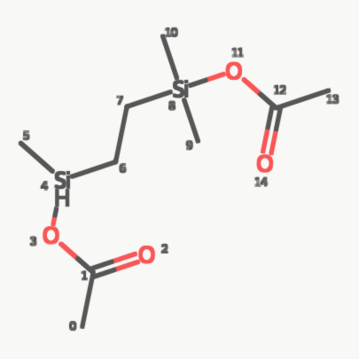 CC(=O)O[SiH](C)CC[Si](C)(C)OC(C)=O